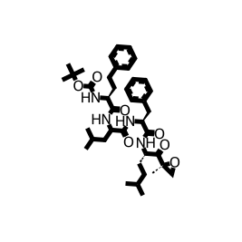 CC(C)CC[C@H](NC(=O)[C@H](Cc1ccccc1)NC(=O)C(CC(C)C)NC(=O)[C@H](CCc1ccccc1)NC(=O)OC(C)(C)C)C(=O)[C@]1(C)CO1